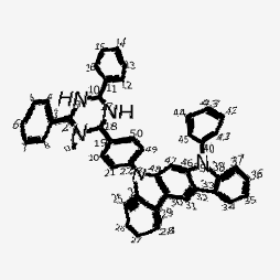 CN1C(c2ccccc2)NC(c2ccccc2)NC1c1ccc(-n2c3ccccc3c3cc4c5ccccc5n(-c5ccccc5)c4cc32)cc1